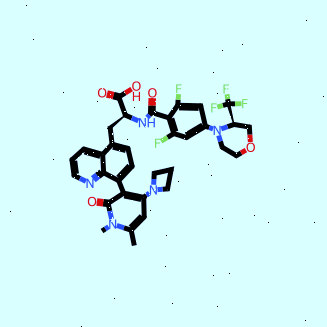 Cc1cc(N2CCC2)c(-c2ccc(C[C@H](NC(=O)c3c(F)cc(N4CCOC[C@@H]4C(F)(F)F)cc3F)C(=O)O)c3cccnc23)c(=O)n1C